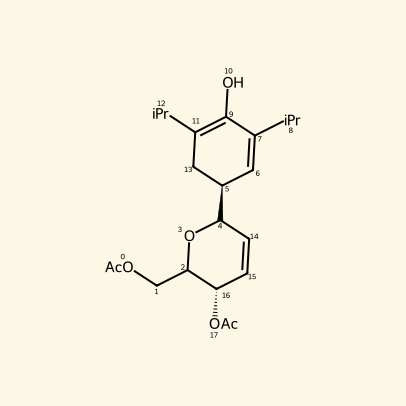 CC(=O)OCC1OC([C@@H]2C=C(C(C)C)C(O)=C(C(C)C)C2)C=C[C@@H]1OC(C)=O